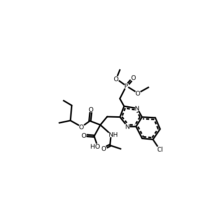 CCC(C)OC(=O)C(Cc1nc2cc(Cl)ccc2nc1CP(=O)(OC)OC)(NC(C)=O)C(=O)O